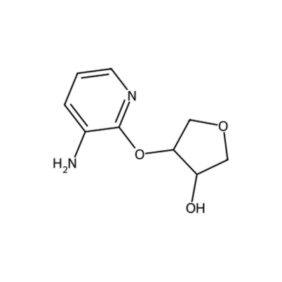 Nc1cccnc1OC1COCC1O